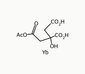 CC(=O)OC(=O)CC(O)(CC(=O)O)C(=O)O.[Yb]